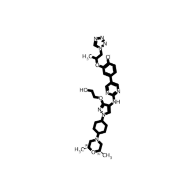 CC(Cn1cnnn1)Oc1cc(-c2cnc(Nc3cn(C4CCC(N5C[C@@H](C)O[C@@H](C)C5)CC4)nc3OCCO)nc2)ccc1Cl